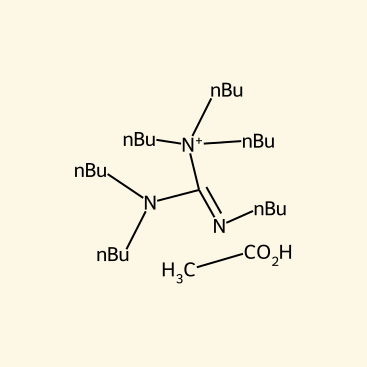 CC(=O)O.CCCCN=C(N(CCCC)CCCC)[N+](CCCC)(CCCC)CCCC